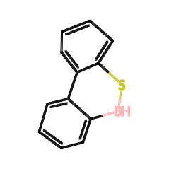 B1Sc2ccccc2-c2ccccc21